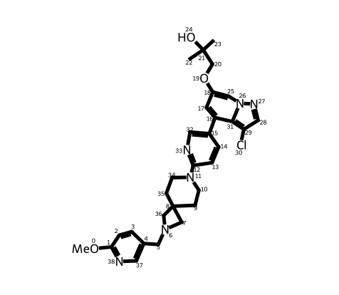 COc1ccc(CN2CC3(CCN(c4ccc(-c5cc(OCC(C)(C)O)cn6ncc(Cl)c56)cn4)CC3)C2)cn1